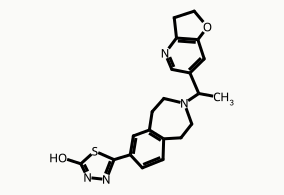 CC(c1cnc2c(c1)OCC2)N1CCc2ccc(-c3nnc(O)s3)cc2CC1